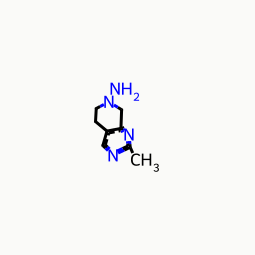 Cc1ncc2c(n1)CN(N)CC2